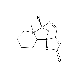 C[N+]12CCCCC1[C@]13C[C@H]2C=CC1=CC(=O)O3